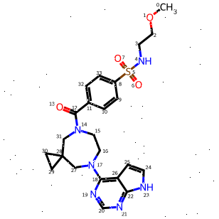 COCCNS(=O)(=O)c1ccc(C(=O)N2CCN(c3ncnc4[nH]ccc34)CC3(CC3)C2)cc1